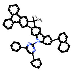 CC1(C)c2cc3c4ccccc4c4ccccc4c3cc2-c2cc3c(cc21)c1cc(-c2cccc4ccccc24)ccc1n3-c1nc(-c2ccccc2)cc(-c2ccccc2)n1